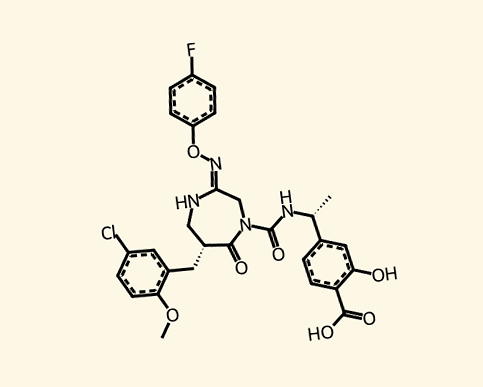 COc1ccc(Cl)cc1C[C@@H]1CN/C(=N\Oc2ccc(F)cc2)CN(C(=O)N[C@H](C)c2ccc(C(=O)O)c(O)c2)C1=O